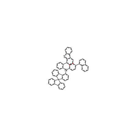 c1ccc(N(c2ccc(-c3cccc4ccccc34)cc2)c2cccc3c2-c2ccccc2C32c3ccccc3-c3ccccc32)c(-c2cccc3c2sc2ccccc23)c1